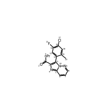 CCCC(=O)c1nc2cccnn2c1-c1cc(F)c(Cl)cc1C